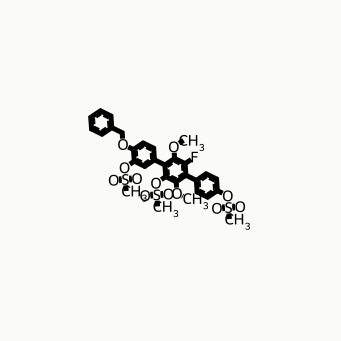 COc1c(OS(C)(=O)=O)c(-c2ccc(OCc3ccccc3)c(OS(C)(=O)=O)c2)c(OC)c(F)c1-c1ccc(OS(C)(=O)=O)cc1